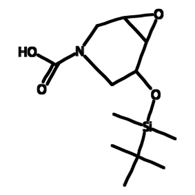 CC(C)(C)[Si](C)(C)OC1CN(C(=O)O)CC2OC21